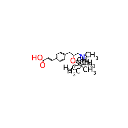 CN(C)CC(Cc1ccc(/C=C/C(=O)O)cc1)O[Si](C)(C)C(C)(C)C